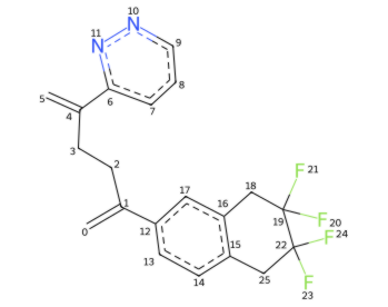 C=C(CCC(=C)c1cccnn1)c1ccc2c(c1)CC(F)(F)C(F)(F)C2